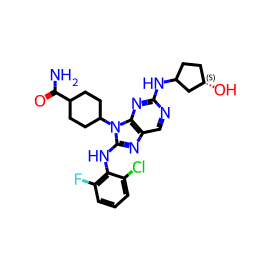 NC(=O)C1CCC(n2c(Nc3c(F)cccc3Cl)nc3cnc(NC4CC[C@H](O)C4)nc32)CC1